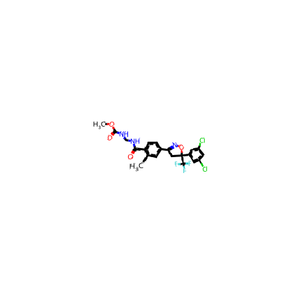 COC(=O)NCNC(=O)c1ccc(C2=NOC(c3cc(Cl)cc(Cl)c3)(C(F)(F)F)C2)cc1C